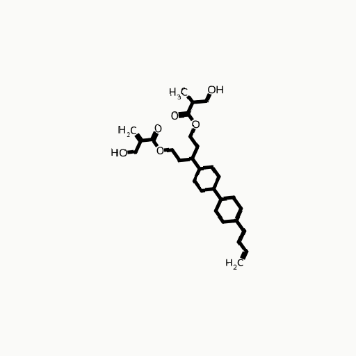 C=CCCC1CCC(C2CCC(C(CCOC(=O)C(=C)CO)CCOC(=O)C(C)CO)CC2)CC1